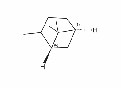 CC1CC[C@H]2C[C@H]1C2(C)C